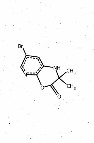 CC1(C)Nc2cc(Br)cnc2OC1=O